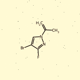 C=C(C)n1cc(Br)c(F)n1